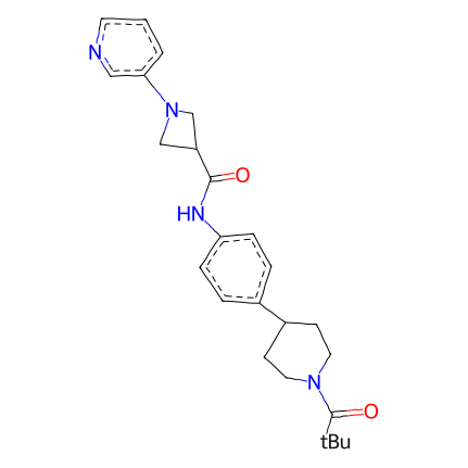 CC(C)(C)C(=O)N1CCC(c2ccc(NC(=O)C3CN(c4cccnc4)C3)cc2)CC1